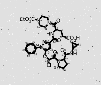 CCOC(=O)N1CCN(C(=O)C(CCC(=O)O)NC(=O)c2cc(O[C@H](C)C(=O)N3CCCC3C(=O)NC3CC3)n(-c3ccccc3)n2)CC1